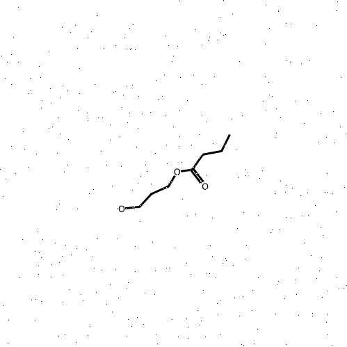 CCCC(=O)OCCC[O]